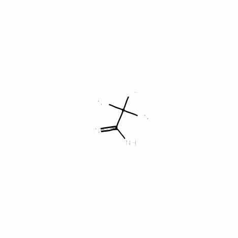 CC(C#N)(C#N)C(=N)N